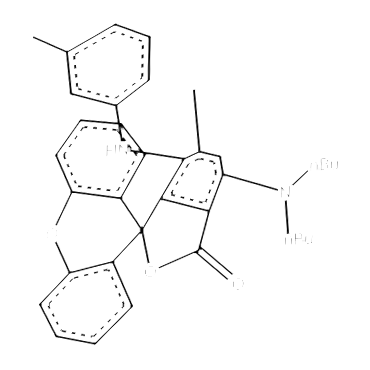 CCCCN(CCCC)c1cc(C)c(Nc2cccc(C)c2)c2c1C(=O)OC21c2ccccc2Oc2ccccc21